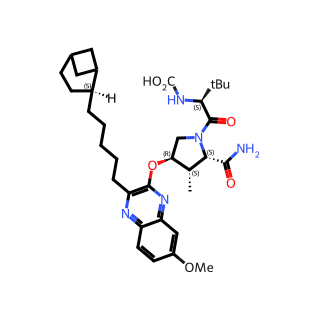 COc1ccc2nc(CCCCC[C@H]3CCC4CC3C4)c(O[C@H]3CN(C(=O)[C@@H](NC(=O)O)C(C)(C)C)[C@H](C(N)=O)[C@@H]3C)nc2c1